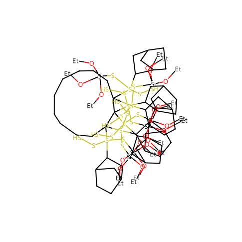 CCO[Si](OCC)(OCC)SS(SS)(C1CC2CCC1C2)C1(S(SS)(S[Si](OCC)(OCC)OCC)C2CC3CCC2C3)CCCCCCCCCC(S(SS)(S[Si](OCC)(OCC)OCC)C2CC3CCC2C3)(S(SS)(S[Si](OCC)(OCC)OCC)C2CC3CCC2C3)C1(S(SS)(S[Si](OCC)(OCC)OCC)C1CC2CCC1C2)S(SS)(S[Si](OCC)(OCC)OCC)C1CC2CCC1C2